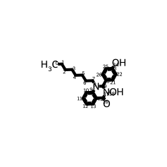 CCCCCCCCN1c2ccccc2C(=O)N(O)C1c1ccc(O)cc1